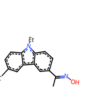 CCn1c2ccc(C=O)cc2c2cc(/C(C)=N/O)ccc21